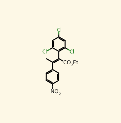 CCOC(=O)C(=C(C)c1ccc([N+](=O)[O-])cc1)c1c(Cl)cc(Cl)cc1Cl